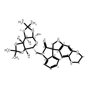 CC1(C)O[C@H]2[C@@H](O1)[C@@H](CN1C(=O)C3(COc4cc5c(cc43)OCCO5)c3ccccc31)O[C@@H]1OC(C)(C)O[C@@H]12